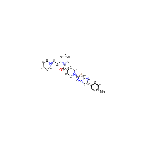 CC(C)c1ccc(-c2cn3nc(N4CCC(C(=O)N5CCCCC5CCN5CCCCC5)CC4)sc3n2)cc1